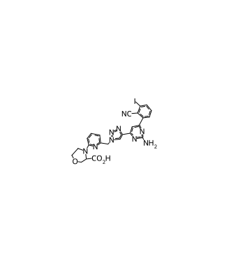 N#Cc1c(I)cccc1-c1cc(-c2cn(Cc3cccc(N4CCOCC4C(=O)O)n3)nn2)nc(N)n1